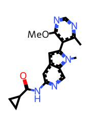 COc1ncnc(C)c1-c1cc2cc(NC(=O)C3CC3)ncc2n1C